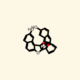 Oc1ccc2ccc3c(c2c1)C12c4c(ccc5ccc(O)cc45)OC1(O3)c1cccc3cccc2c13